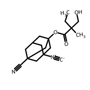 [C-]#[N+]C12CC3CC(C#N)(C1)CC(OC(=O)C(C)(CC)CO)(C3)C2